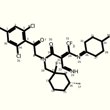 Cc1cc(Cl)c(C(=O)CN(CC2(F)CCC[C@@H](C)C2)C(=O)/C(C=N)=C(/N=C2CCC(C)CC2)C(F)(F)F)c(Cl)c1